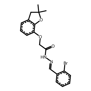 CC1(C)Cc2cccc(OCC(=O)NN=Cc3ccccc3Br)c2O1